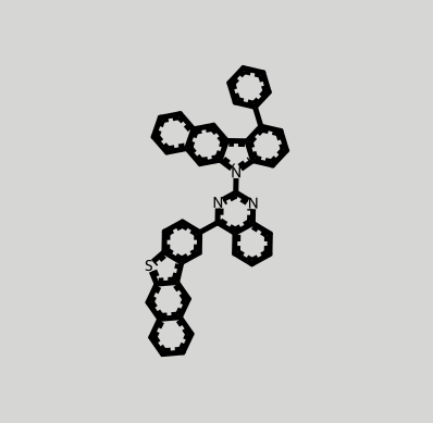 c1ccc(-c2cccc3c2c2cc4ccccc4cc2n3-c2nc(-c3ccc4sc5cc6ccccc6cc5c4c3)c3ccccc3n2)cc1